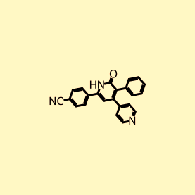 N#Cc1ccc(-c2cc(-c3ccncc3)c(-c3ccccc3)c(=O)[nH]2)cc1